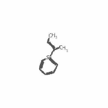 CC=C(C)[si]1ccccc1